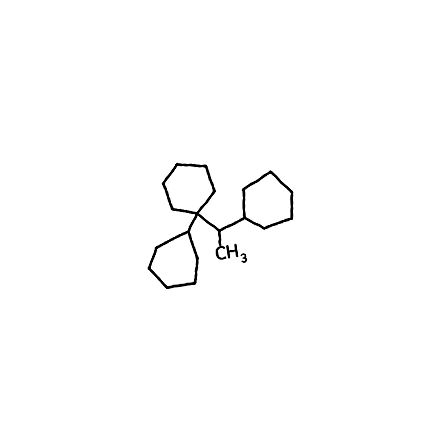 CC(C1CCCCC1)C1(C2CCCCC2)CCCCC1